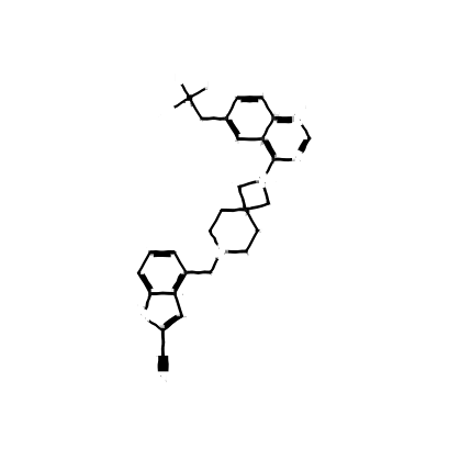 N#Cc1cc2c(CN3CCC4(CC3)CN(c3ncnc5ccc(CC(F)(F)F)cc35)C4)cccc2[nH]1